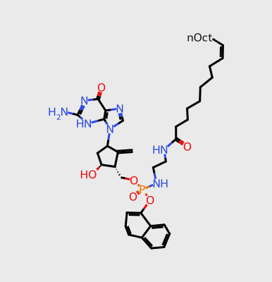 C=C1C(n2cnc3c(=O)nc(N)[nH]c32)C[C@H](O)[C@H]1COP(=O)(NCCNC(=O)CCCCCCC/C=C\CCCCCCCC)Oc1cccc2ccccc12